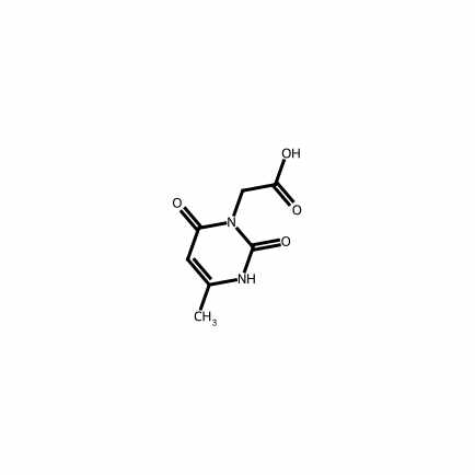 Cc1cc(=O)n(CC(=O)O)c(=O)[nH]1